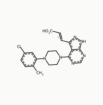 Cc1ccc(Cl)cc1N1CCN(c2ncnc3[nH]nc(/C=C/C(=O)O)c23)CC1